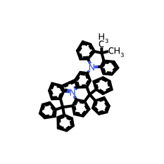 CC1(C)c2ccccc2N(c2cc3c4c(c2)c2cccc5c2n4-c2c(cccc2C3(c2ccccc2)c2ccccc2)C5(c2ccccc2)c2ccccc2)c2ccccc21